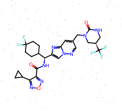 O=C(N[C@H](c1cn2ncc(CN3C[C@H](C(F)(F)F)CNC3=O)cc2n1)C1CCC(F)(F)CC1)c1nonc1C1CC1